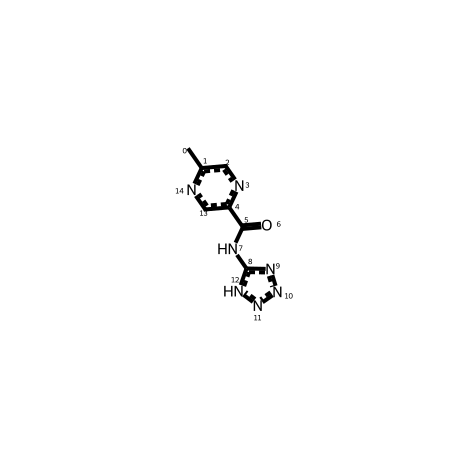 Cc1cnc(C(=O)Nc2nnn[nH]2)cn1